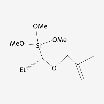 C=C(C)CO[C@H](CC)[Si](OC)(OC)OC